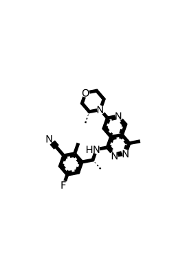 Cc1c(C#N)cc(F)cc1[C@@H](C)Nc1nnc(C)c2cnc(N3CCOC[C@H]3C)cc12